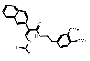 COc1ccc(CCNC(=O)C(=COC(F)F)c2ccc3ccccc3c2)cc1OC